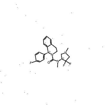 CN1C[C@H](N(C)C(=O)N2CCc3ccccc3[C@@H]2c2ccc(F)cc2)C(F)(F)C1